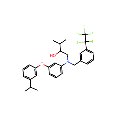 CC(C)c1cccc(Oc2cccc(N(Cc3cccc(C(F)(F)C(F)(F)F)c3)CC(O)C(C)C)c2)c1